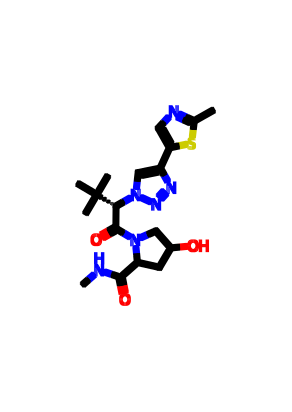 CNC(=O)C1CC(O)CN1C(=O)[C@@H](n1cc(-c2cnc(C)s2)nn1)C(C)(C)C